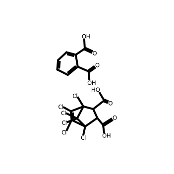 O=C(O)C1C(C(=O)O)C2(Cl)C(Cl)=C(Cl)C1(Cl)C2(Cl)Cl.O=C(O)c1ccccc1C(=O)O